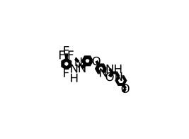 COC1CCN(CC(=O)Nc2cc(Oc3ccc4c(c3)nc(Nc3cc(C(F)(F)F)ccc3F)n4C)ccn2)CC1